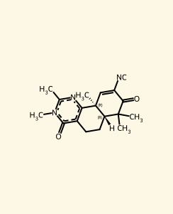 [C-]#[N+]C1=C[C@]2(C)c3nc(C)n(C)c(=O)c3CC[C@H]2C(C)(C)C1=O